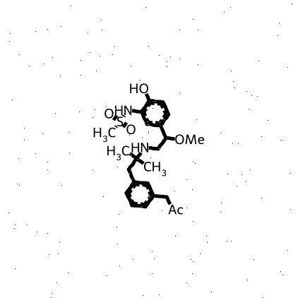 COC(CNC(C)(C)Cc1cccc(CC(C)=O)c1)c1ccc(O)c(NS(C)(=O)=O)c1